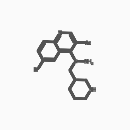 CC(=O)c1cnc2ccc(Br)cc2c1N(N)CC1CCCNC1